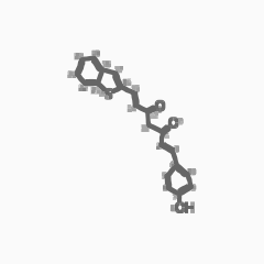 O=C(/C=C/c1ccc(O)cc1)CC(=O)/C=C/c1cc2ccccc2s1